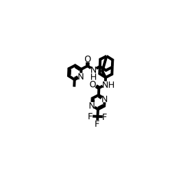 Cc1cccc(C(=O)NC23CC4CC(CC(NC(=O)c5cnc(C(F)(F)F)cn5)(C4)C2)C3)n1